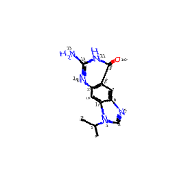 CC(C)n1cnc2cc3c(=O)[nH]c(N)nc3cc21